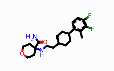 Cc1c(C2CCC(CCNC3(C(N)=O)CCOCC3)CC2)ccc(F)c1F